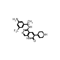 C[C@@H](Nc1nncc2[nH]c(=O)c(C3=CCNCC3)cc12)c1cc(N)cc(C(F)(F)F)c1